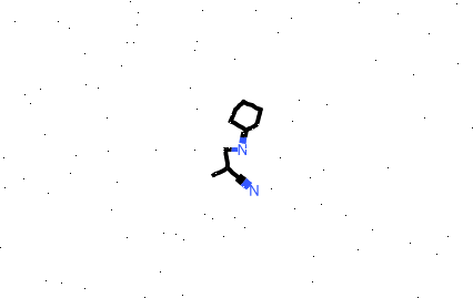 CC(C#N)CN=C1CCCCC1